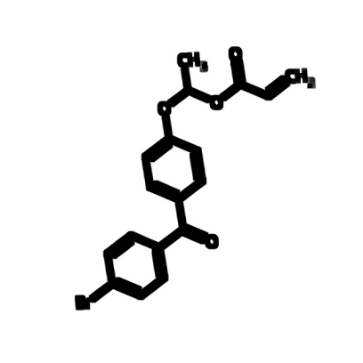 C=CC(=O)OC(C)Oc1ccc(C(=O)c2ccc(Br)cc2)cc1